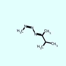 C/N=N\N=C(/C)C(C)C